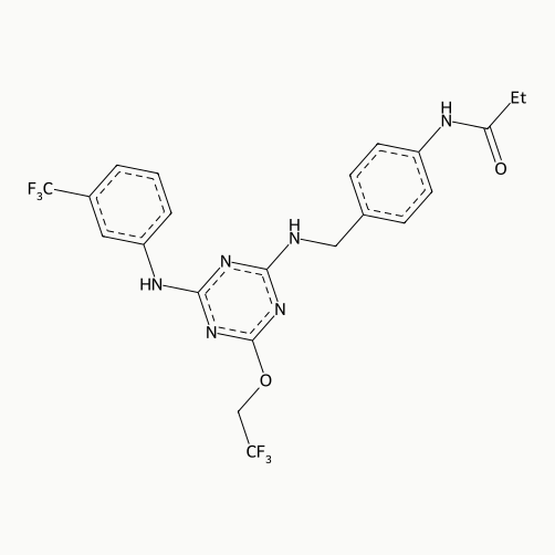 CCC(=O)Nc1ccc(CNc2nc(Nc3cccc(C(F)(F)F)c3)nc(OCC(F)(F)F)n2)cc1